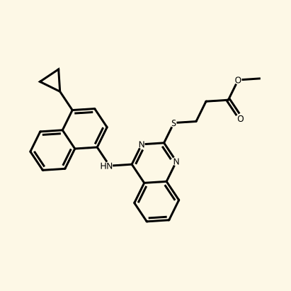 COC(=O)CCSc1nc(Nc2ccc(C3CC3)c3ccccc23)c2ccccc2n1